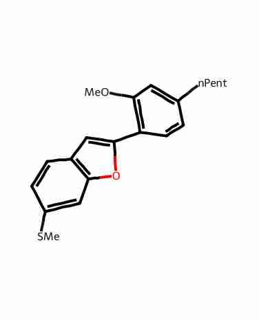 CCCCCc1ccc(-c2cc3ccc(SC)cc3o2)c(OC)c1